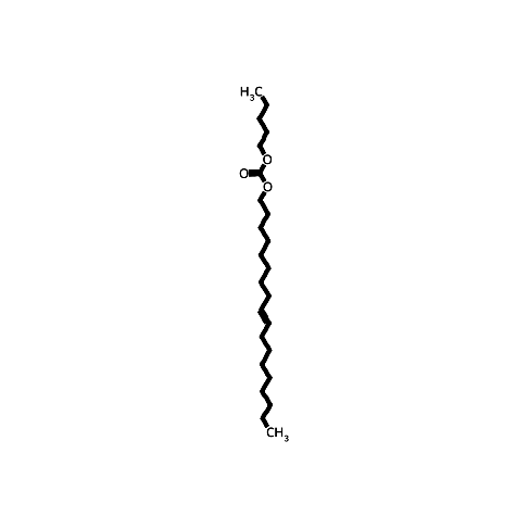 CCCCCCCCC=CCCCCCCCCOC(=O)OCCCCC